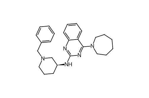 c1ccc(CN2CCC[C@H](Nc3nc(N4CCCCCC4)c4ccccc4n3)C2)cc1